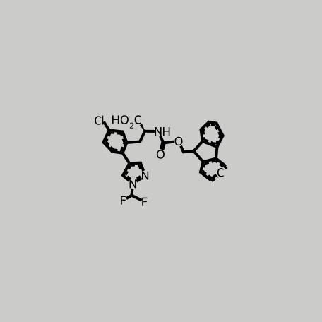 O=C(N[C@@H](Cc1cc(Cl)ccc1-c1cnn(C(F)F)c1)C(=O)O)OCC1c2ccccc2-c2ccccc21